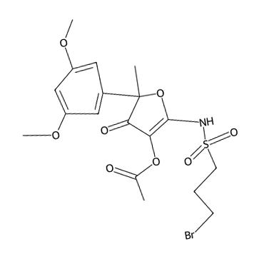 COc1cc(OC)cc(C2(C)OC(NS(=O)(=O)CCCBr)=C(OC(C)=O)C2=O)c1